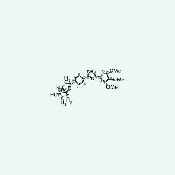 COc1cc(-c2nc(-c3ccc(B(C)OC(C)(C)C(C)(C)O)cc3)no2)cc(OC)c1OC